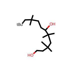 CC(C)(C)CC(C)(C)CCC(O)C(C)(C)CC(C)(C)CCO